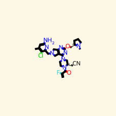 C=C(F)C(=O)N1CCN(c2nc(OC[C@@H]3CCCN3C)nc3c2CN(Cc2nc(N)cc(C)c2Cl)C3)C[C@@H]1CC#N